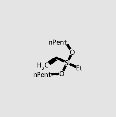 C=C[Si](CC)(OCCCCC)OCCCCC